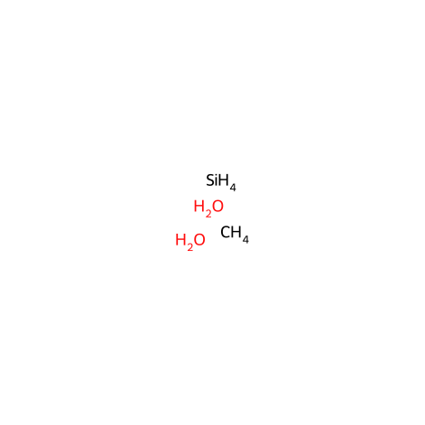 C.O.O.[SiH4]